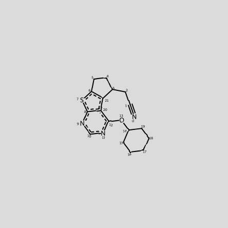 N#CCC1CCc2sc3ncnc(OC4CCCCC4)c3c21